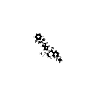 C[C@@H]1COc2nc(OC(F)(F)F)ccc2C(=O)N1C1CC2(C1)CN(S(=O)(=O)c1ccccc1F)C2